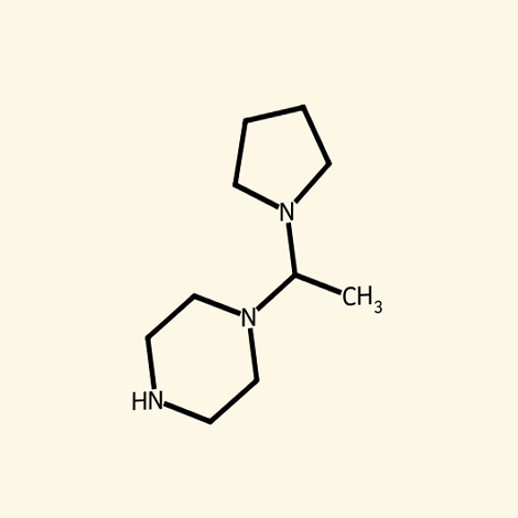 CC(N1CCCC1)N1CCNCC1